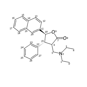 CCN(CC)CC1C(=O)O[C@H](c2ccc3ccccc3c2)[C@H]1c1ccccc1